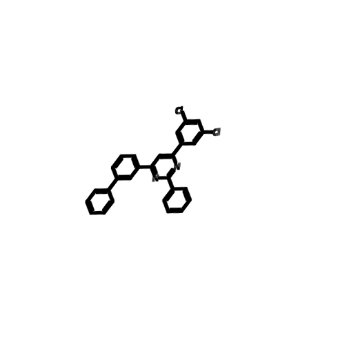 Clc1cc(Cl)cc(-c2cc(-c3cccc(-c4ccccc4)c3)nc(-c3ccccc3)n2)c1